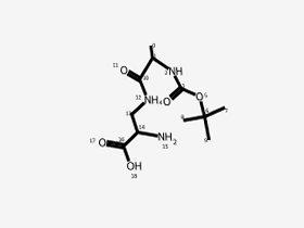 CC(NC(=O)OC(C)(C)C)C(=O)NCC(N)C(=O)O